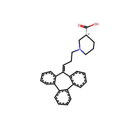 O=C(O)[C@@H]1CCCN(CCC=C2c3ccccc3-c3ccccc3-c3ccccc32)C1